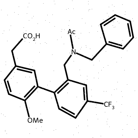 COc1ccc(CC(=O)O)cc1-c1ccc(C(F)(F)F)cc1CN(Cc1ccccc1)C(C)=O